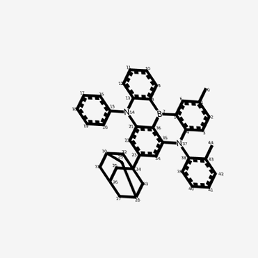 Cc1ccc2c(c1)B1c3ccccc3N(c3ccccc3)c3cc(C45CC6CC(CC(C6)C4)C5)cc(c31)N2c1ccccc1C